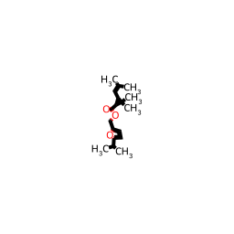 CC(C)=CC1C(C(=O)OCc2ccc(C(C)C)o2)C1(C)C